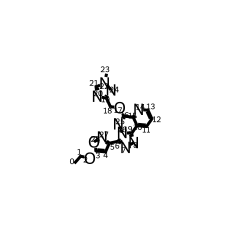 CCOc1cc(-c2nnc3c4cccnc4c(OCc4ncn(C)n4)nn23)no1